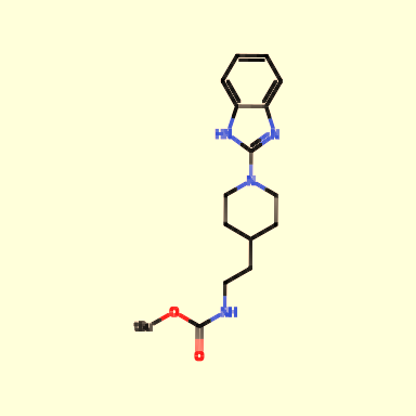 CC(C)(C)OC(=O)NCCC1CCN(c2nc3ccccc3[nH]2)CC1